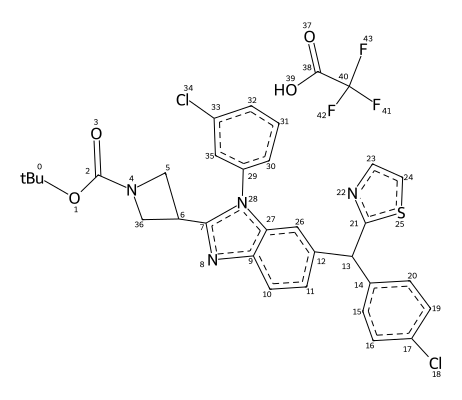 CC(C)(C)OC(=O)N1CC(c2nc3ccc(C(c4ccc(Cl)cc4)c4nccs4)cc3n2-c2cccc(Cl)c2)C1.O=C(O)C(F)(F)F